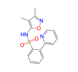 Cc1noc(NS(=O)(=O)c2ccccc2-c2ccccn2)c1C